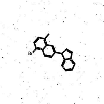 Cc1ccc(Br)c2ccc(C3C=Cc4ccccc43)cc12